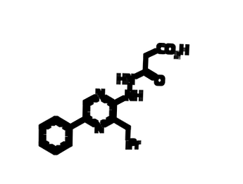 CC(C)Cc1nc(-c2ccccc2)cnc1NNC(=O)CC(=O)O